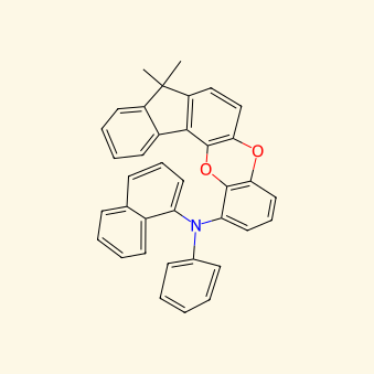 CC1(C)c2ccccc2-c2c1ccc1c2Oc2c(cccc2N(c2ccccc2)c2cccc3ccccc23)O1